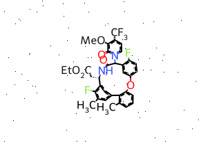 CCOC(=O)C[C@@H]1NC(=O)[C@@H](n2ccc(C(F)(F)F)c(OC)c2=O)c2cc(ccc2F)Oc2cccc(C)c2-c2cc(C)c(F)c1c2